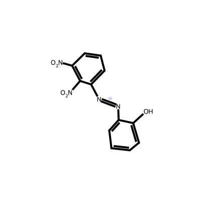 O=[N+]([O-])c1cccc(/N=N/c2ccccc2O)c1[N+](=O)[O-]